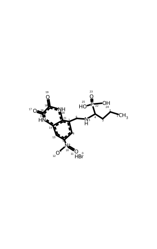 Br.CCCC(NCc1cc([N+](=O)[O-])cc2[nH]c(=O)c(=O)[nH]c12)P(=O)(O)O